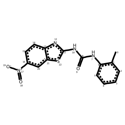 Cc1ccccc1NC(=O)Nc1nc2ccc([N+](=O)[O-])cc2s1